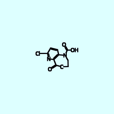 O=C1CCCN(C(=O)O)c2ccc(Cl)nc21